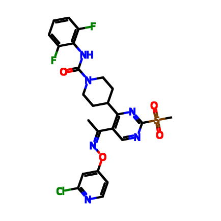 CC(=NOc1ccnc(Cl)c1)c1cnc(S(C)(=O)=O)nc1C1CCN(C(=O)Nc2c(F)cccc2F)CC1